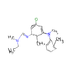 CCN(C)C=Nc1cc(Cl)cc(N(C)c2ccccc2C)c1C